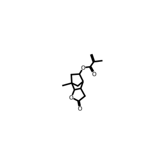 C=C(C)C(=O)OC1CC2(C)CC1C1CC(=O)OC12